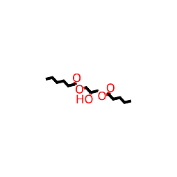 CCCCCC(=O)OCC(O)COC(=O)CCCC